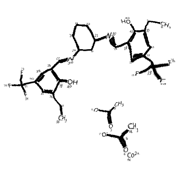 CC(=O)[O-].CC(=O)[O-].CCc1cc(C(F)(F)F)cc(C=NC2CCCC(N=Cc3cc(C(F)(F)F)cc(CC)c3O)C2)c1O.[Co+2]